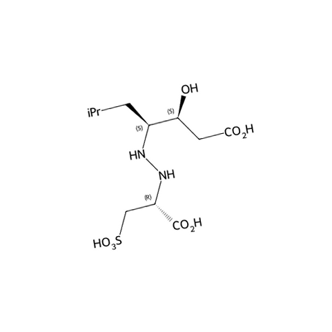 CC(C)C[C@H](NN[C@@H](CS(=O)(=O)O)C(=O)O)[C@@H](O)CC(=O)O